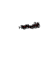 COc1cc(-c2cn(C)c(=O)c3cnccc23)c(OC)cc1CN1CC[C@@H](OC2CCN(CCn3cccc(Cn4ccc(=O)[nH]c4=O)c3=O)CC2)[C@H](F)C1